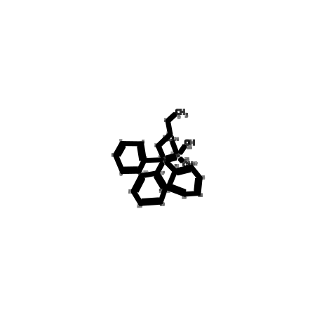 CCCCS(c1ccccc1)(c1ccccc1)(c1ccccc1)=P(O)(O)O